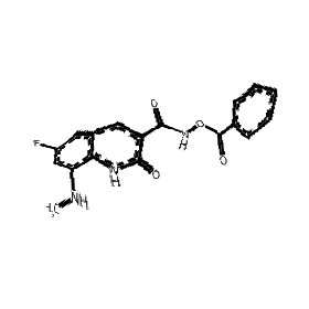 CNc1cc(F)cc2cc(C(=O)NOC(=O)c3ccccc3)c(=O)[nH]c12